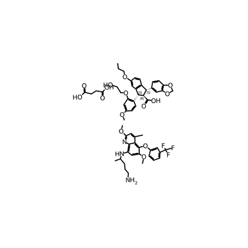 CCCOc1ccc2c(c1)[C@@H](c1ccc(OC)cc1OCCO)[C@H](C(=O)O)[C@H]2c1ccc2c(c1)OCO2.COc1cc(C)c2c(Oc3cccc(C(F)(F)F)c3)c(OC)cc(NC(C)CCCN)c2n1.O=C(O)CCC(=O)O